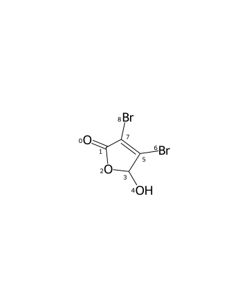 O=C1OC(O)C(Br)=C1Br